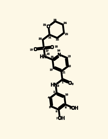 O=C(Nc1ccc(O)c(O)c1)c1ccnc(NS(=O)(=O)CC2CCCCO2)c1